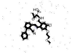 CSCCOc1cc(/C=C/c2cccc(-c3ccccc3)c2C#N)c(CN[C@@H](CO)C(C)=O)cc1Cl